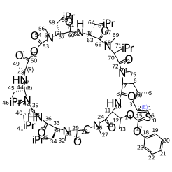 C/C=C/C[C@@H](C)CC1C(=O)NC(C(C)OC(=S)Oc2ccccc2)C(=O)N(C)CC(=O)N(C)[C@@H](CC(C)C)C(=O)N[C@H](CC(C)C)N(C)[C@H](CC(C)C)N[C@H](C)C(=O)OC(=O)N(C)[C@H](CC(C)C)C(=O)N[C@H](CC(C)C)C(=O)N(C)C(C(C)C)C(=O)N1C